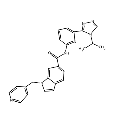 CC(C)n1cnnc1-c1cccc(NC(=O)c2cc3c(ccn3Cc3ccncc3)cn2)n1